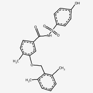 Cc1ccc(C(=O)NS(=O)(=O)c2ccc(O)cc2)cc1OCc1c(C)cccc1C